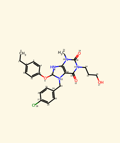 CCc1ccc(OC2Nc3c(c(=O)n(CCCO)c(=O)n3C)N2Cc2ccc(Cl)cc2)cc1